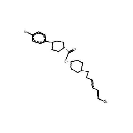 N#CC=CC=CCC[C@H]1CC[C@H](OC(=O)[C@H]2CC[C@H](c3ccc(C#N)cc3)CC2)CC1